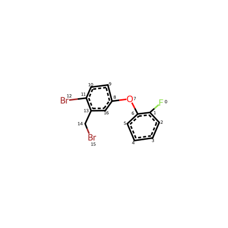 Fc1ccccc1Oc1ccc(Br)c(CBr)c1